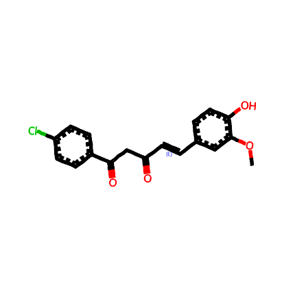 COc1cc(/C=C/C(=O)CC(=O)c2ccc(Cl)cc2)ccc1O